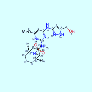 COc1cc(Nc2cc(CO)[nH]n2)nc(N(C)C2C[C@H]3CCC[C@@H](C2)N3S(C)(=O)=O)n1